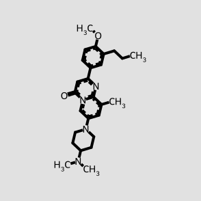 CCCc1cc(-c2cc(=O)n3cc(N4CCC(N(C)C)CC4)cc(C)c3n2)ccc1OC